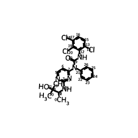 C[C@H](Nc1nccc(N(C(=O)Nc2c(Cl)ccc(Cl)c2Cl)c2ccccc2)n1)C(C)(C)O